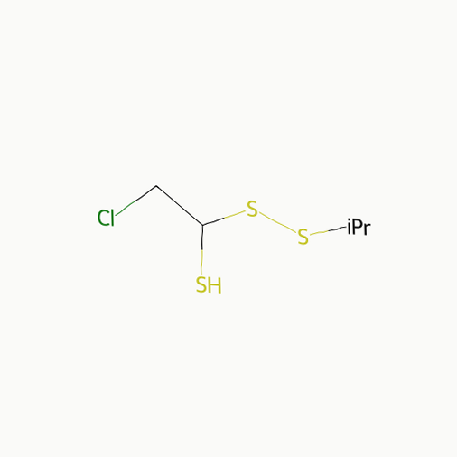 CC(C)SSC(S)CCl